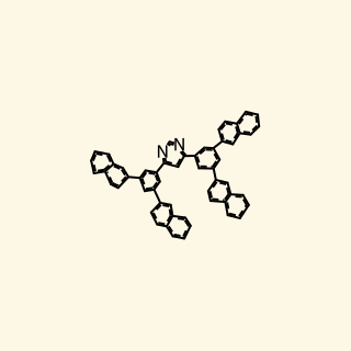 c1ccc2cc(-c3cc(-c4ccc5ccccc5c4)cc(-c4cc(-c5cc(-c6ccc7ccccc7c6)cc(-c6ccc7ccccc7c6)c5)ncn4)c3)ccc2c1